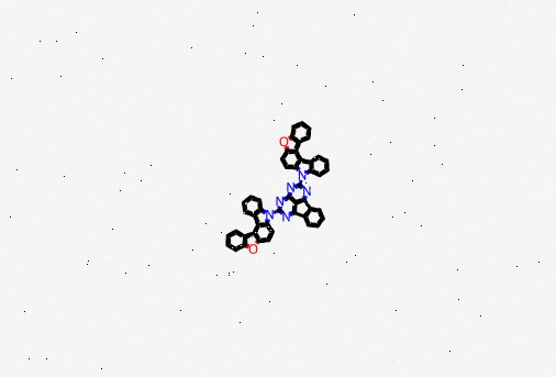 c1ccc2c(c1)-c1nc(-n3c4ccccc4c4c5c(ccc43)oc3ccccc35)nc3nc(-n4c5ccccc5c5c6c(ccc54)oc4ccccc46)nc-2c13